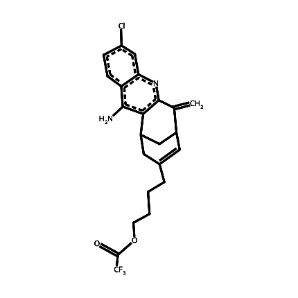 C=C1c2nc3cc(Cl)ccc3c(N)c2C2CC(CCCCOC(=O)C(F)(F)F)=CC1C2